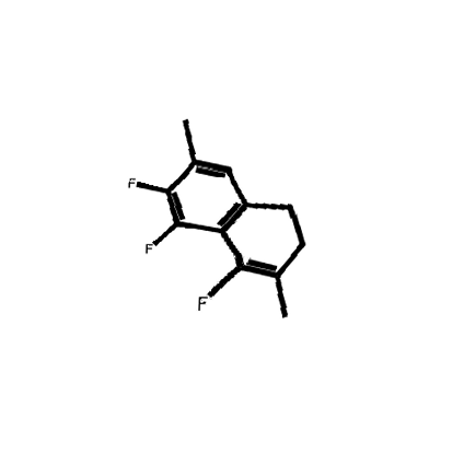 CC1=C(F)c2c(cc(C)c(F)c2F)CC1